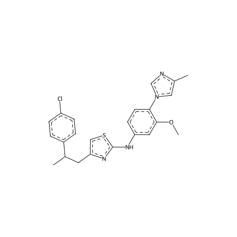 COc1cc(Nc2nc(CC(C)c3ccc(Cl)cc3)cs2)ccc1-n1cnc(C)c1